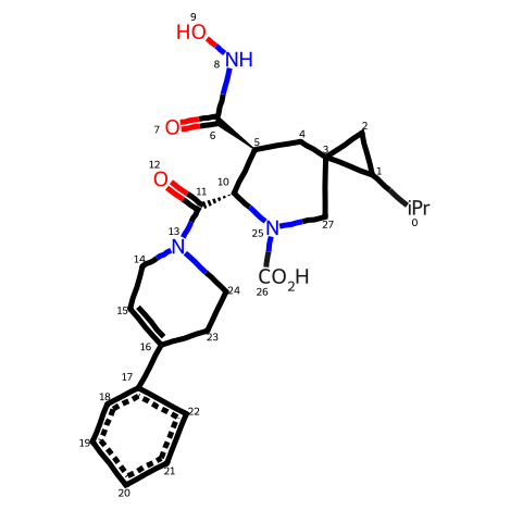 CC(C)C1CC12C[C@H](C(=O)NO)[C@@H](C(=O)N1CC=C(c3ccccc3)CC1)N(C(=O)O)C2